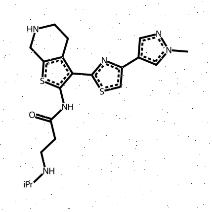 CC(C)NCCC(=O)Nc1sc2c(c1-c1nc(-c3cnn(C)c3)cs1)CCNC2